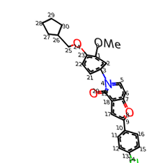 COc1cc(-n2ccc3oc(-c4ccc(Cl)cc4)cc3c2=O)ccc1OCC1CCCC1